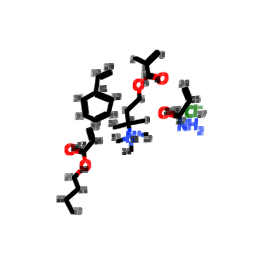 C=C(C)C(=O)OCCC(C)(C)[N+](C)(C)C.C=CC(=O)OCCCC.C=CC(N)=O.C=Cc1ccccc1.[Cl-]